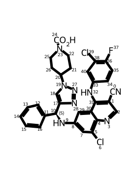 N#Cc1cnc2c(Cl)cc(N[C@@H](c3ccccc3)c3cn(C4CCN(C(=O)O)CC4)nn3)cc2c1Nc1ccc(F)c(Cl)c1